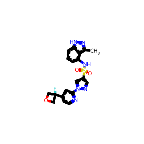 Cc1n[nH]c2cccc(NS(=O)(=O)c3cnn(-c4cc(C5(F)COC5)ccn4)c3)c12